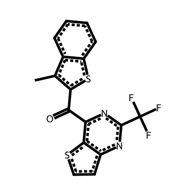 Cc1c(C(=O)c2nc(C(F)(F)F)nc3ccsc23)sc2ccccc12